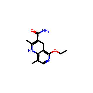 CCOc1ncc(C)c2c1CC(C(N)=O)=C(C)N2